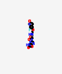 Cn1c(=O)ccc2cc(OCCNC[C@@H]3CN(c4cnc5c(n4)NC(=O)CO5)C(=O)O3)c(F)cc21